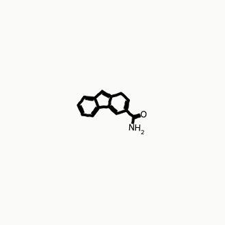 NC(=O)C1=CCC2=Cc3ccccc3C2=C1